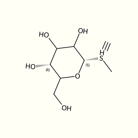 C#[SH](C)[C@@H]1OC(CO)[C@H](O)C(O)C1O